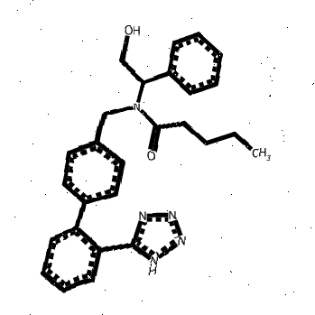 CCCCC(=O)N(Cc1ccc(-c2ccccc2-c2nnn[nH]2)cc1)C(CO)c1ccccc1